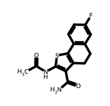 CC(=O)Nc1sc2c(c1C(N)=O)CCc1cc(F)ccc1-2